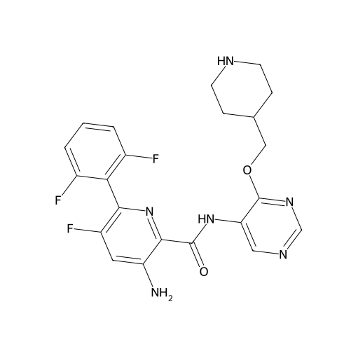 Nc1cc(F)c(-c2c(F)cccc2F)nc1C(=O)Nc1cncnc1OCC1CCNCC1